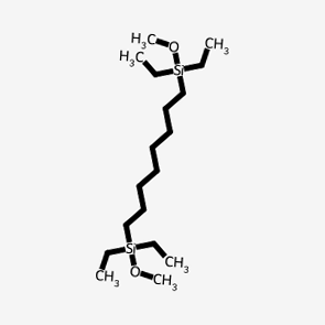 CC[Si](CC)(CCCCCCCC[Si](CC)(CC)OC)OC